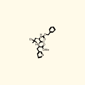 CCC(C)(C)C[C@@H](NC(=O)OCc1ccccc1)C(=O)NC(Cc1cccnc1)C(=O)OC